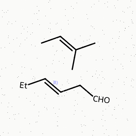 CC/C=C/CC=O.CC=C(C)C